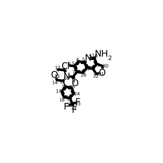 Nc1nc2cc(Cl)c(C(=O)N3CCOC[C@@H]3c3ccc(C(F)(F)F)cc3)cc2c2c1COC2